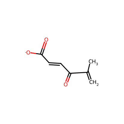 C=C(C)C(=O)C=CC([O])=O